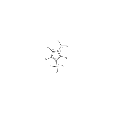 Cc1c(C(C)(C)C)c(C)n(C(C)C)c1C